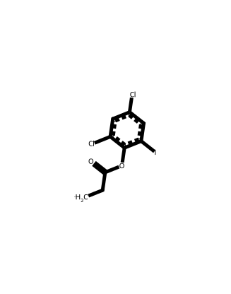 [CH2]CC(=O)Oc1c(Cl)cc(Cl)cc1I